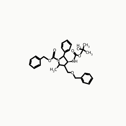 CC1C(COCc2ccccc2)[C@H](NC(=O)OC(C)(C)C)C(c2ccccc2)N1C(=O)OCc1ccccc1